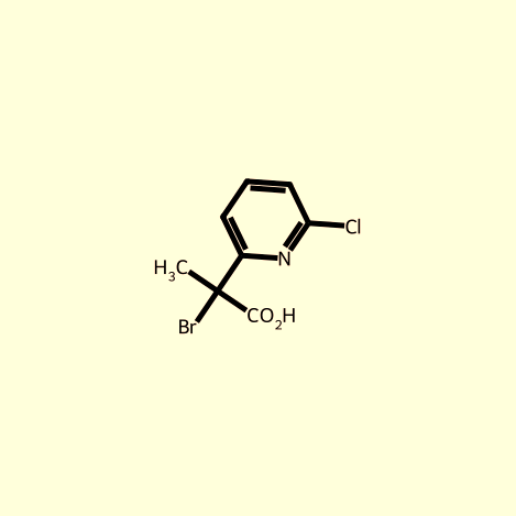 CC(Br)(C(=O)O)c1cccc(Cl)n1